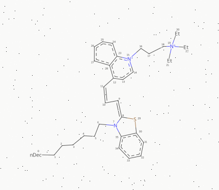 CCCCCCCCCCCCCCCCN1/C(=C\C=C/c2cc[n+](CCC[N+](CC)(CC)CC)c3ccccc23)Sc2ccccc21